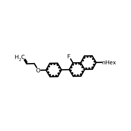 C=CCOc1ccc(-c2ccc3cc(CCCCCC)ccc3c2F)cc1